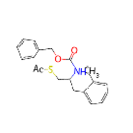 CC(=O)SCC(Cc1ccccc1C)NC(=O)OCc1ccccc1